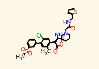 Cc1cc(-c2cccc(S(C)(=O)=O)c2)c(Cl)cc1C1=C(N)C2(CCCN(CC(=O)NCc3cccs3)C2)OC1=O